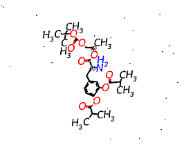 CC(C)C(=O)Oc1ccc(C[C@H](N)C(=O)O[C@@H](C)COC(=O)OC(C)(C)C)cc1OC(=O)C(C)C